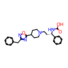 O=C(O)N[C@@H](CCN1CCC(c2nc(Cc3ccccc3)no2)CC1)c1ccccc1